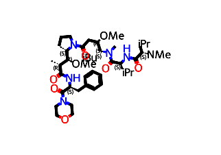 CC[C@H](C)[C@@H]([C@@H](CC(=O)N1CCC[C@H]1[C@H](OC)[C@@H](C)C(=O)N[C@@H](Cc1ccccc1)C(=O)N1CCOCC1)OC)N(C)C(=O)[C@@H](NC(=O)[C@@H](NC)C(C)C)C(C)C